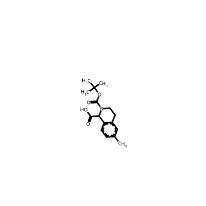 Cc1ccc2c(c1)CCN(C(=O)OC(C)(C)C)C2C(=O)O